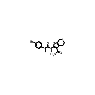 NC(=O)c1c(NC(=O)Nc2ccc(Br)cc2)sc2c1CCSC2